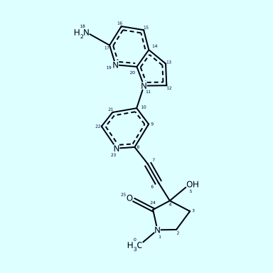 CN1CCC(O)(C#Cc2cc(-n3ccc4ccc(N)nc43)ccn2)C1=O